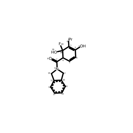 CC(C)C1=C(O)C=CC(C(=O)N2Cc3ccccc3C2)C1(O)F